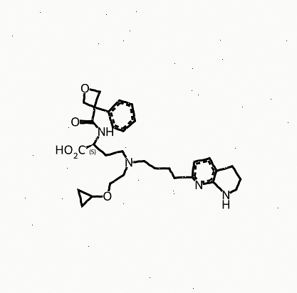 O=C(O)[C@H](CCN(CCCCc1ccc2c(n1)NCCC2)CCOC1CC1)NC(=O)C1(c2ccccc2)COC1